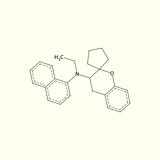 CCN(c1cccc2ccccc12)C1Cc2ccccc2OC12CCCC2